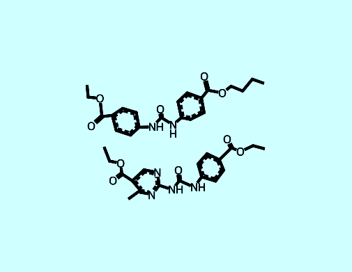 CCCCOC(=O)c1ccc(NC(=O)Nc2ccc(C(=O)OCC)cc2)cc1.CCOC(=O)c1ccc(NC(=O)Nc2ncc(C(=O)OCC)c(C)n2)cc1